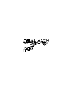 Cc1ncnc(C(=O)N2CCN(c3c(C)n(CC(=O)Nc4ccc(C(F)(F)F)cc4Cl)c4nc(-c5ccc6c(c5)CCO6)nn4c3=O)CC2)c1O